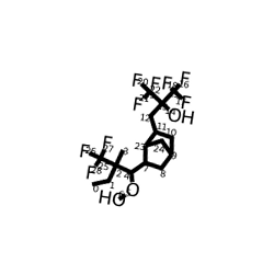 CCC(C)(C(OO)C1CC2CC(CC(O)(C(F)(F)F)C(F)(F)F)C1C2)C(F)(F)F